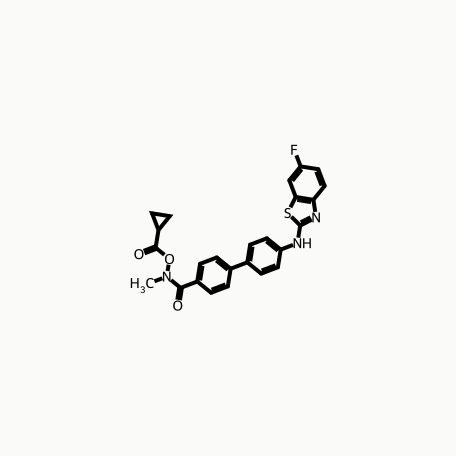 CN(OC(=O)C1CC1)C(=O)c1ccc(-c2ccc(Nc3nc4ccc(F)cc4s3)cc2)cc1